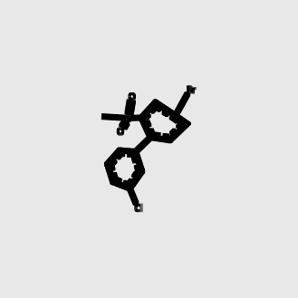 CS(=O)(=O)c1cc(Br)ccc1-c1cccc(Cl)c1